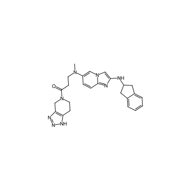 CN(CCC(=O)N1CCc2[nH]nnc2C1)c1ccc2nc(NC3Cc4ccccc4C3)cn2c1